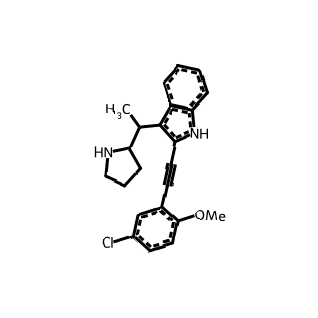 COc1ccc(Cl)cc1C#Cc1[nH]c2ccccc2c1C(C)C1CCCN1